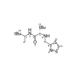 CC(NC(=O)[C@@H](NCc1nccs1)C(C)(C)C)C(C)(C)C